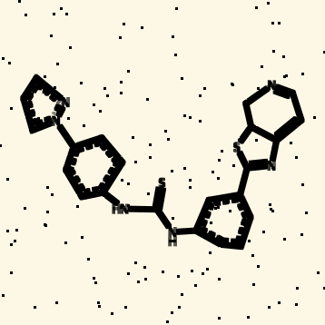 S=C(Nc1ccc(-n2cccn2)cc1)Nc1cccc(C2=NC3=CC=NCC3S2)c1